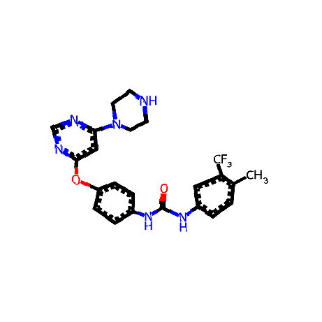 Cc1ccc(NC(=O)Nc2ccc(Oc3cc(N4CCNCC4)ncn3)cc2)cc1C(F)(F)F